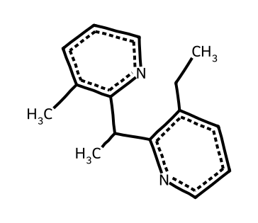 CCc1cccnc1C(C)c1ncccc1C